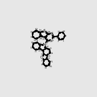 c1ccc(-c2nc(-n3c4ccccc4c4c5oc6ccccc6c5ccc43)c3c(n2)sc2ccccc23)cc1